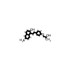 C=C(O)COc1ccc(/C=C/c2c(O)ccc3cc(C)ccc23)cc1